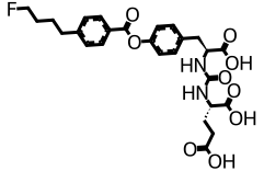 O=C(O)CC[C@H](NC(=O)N[C@@H](Cc1ccc(OC(=O)c2ccc(CCCCF)cc2)cc1)C(=O)O)C(=O)O